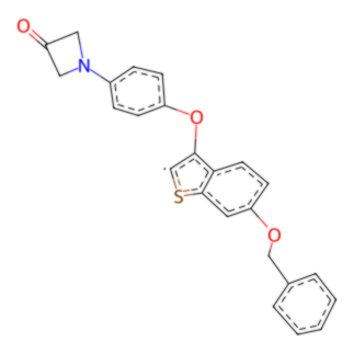 O=C1CN(c2ccc(Oc3[c]sc4cc(OCc5ccccc5)ccc34)cc2)C1